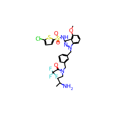 COc1cccc2c1c(NS(=O)(=O)c1ccc(Cl)s1)nn2Cc1cccc(CN(CCC(C)N)C(=O)C(F)(F)F)c1